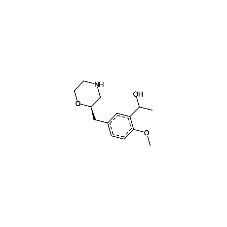 COc1ccc(C[C@@H]2CNCCO2)cc1C(C)O